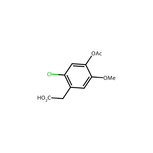 COc1cc(CC(=O)O)c(Cl)cc1OC(C)=O